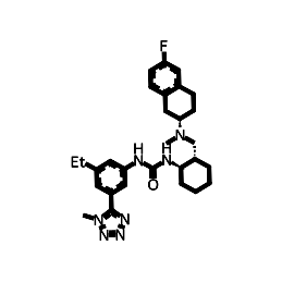 CCc1cc(NC(=O)N[C@@H]2CCCC[C@H]2CN(C)[C@H]2CCc3cc(F)ccc3C2)cc(-c2nnnn2C)c1